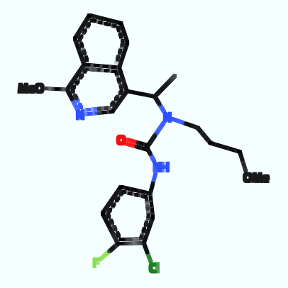 COCCCN(C(=O)Nc1ccc(F)c(Cl)c1)C(C)c1cnc(OC)c2ccccc12